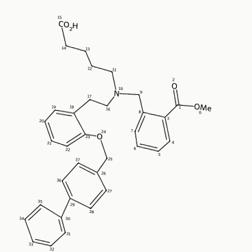 COC(=O)c1ccccc1CN(CCCCC(=O)O)CCc1ccccc1OCc1ccc(-c2ccccc2)cc1